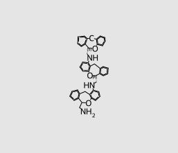 NCC1Oc2cccc(NC[C@@H]3Oc4cccc(NC[C@H]5Oc6ccccc6Cc6ccccc65)c4Cc4ccccc43)c2Cc2ccccc21